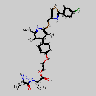 [C-]#[N+]c1c(NC)nc(SCc2csc(-c3ccc(Cl)cc3)n2)c(C#N)c1-c1ccc(OCCOC(=O)[C@H](C)NC(=O)[C@H](C)N)cc1